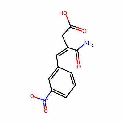 NC(=O)C(=Cc1cccc([N+](=O)[O-])c1)CC(=O)O